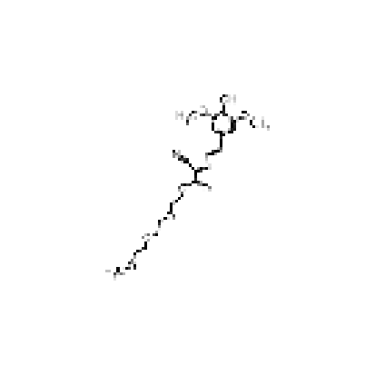 COCCOCCOCCOC(=O)/C(C#N)=C/C=C/c1cc(OC)c(O)c(OC)c1